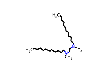 CCCCCCCCCCCCN(C)CCN(C)CCCCCCCCCCCC